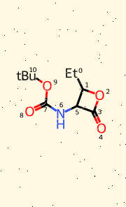 CCC1OC(=O)C1NC(=O)OC(C)(C)C